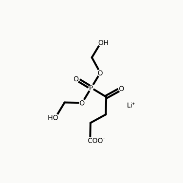 O=C([O-])CCC(=O)P(=O)(OCO)OCO.[Li+]